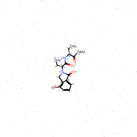 COC(=O)[C@H](COC(C)=O)NC(=O)[C@H](COC(C)=O)N1Cc2c(Br)cccc2C1=O